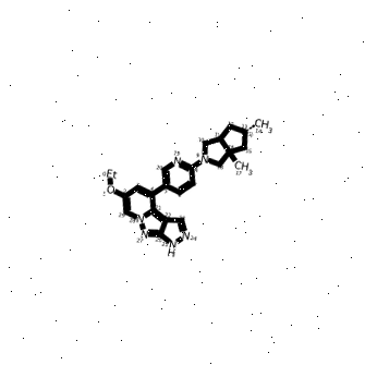 CCOc1cc(-c2ccc(N3CC4C[C@H](C)CC4(C)C3)nc2)c2c3cn[nH]c3nn2c1